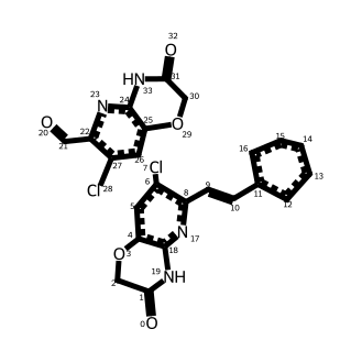 O=C1COc2cc(Cl)c(C=Cc3ccccc3)nc2N1.O=Cc1nc2c(cc1Cl)OCC(=O)N2